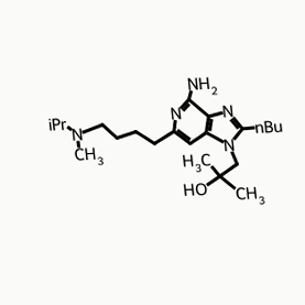 CCCCc1nc2c(N)nc(CCCCN(C)C(C)C)cc2n1CC(C)(C)O